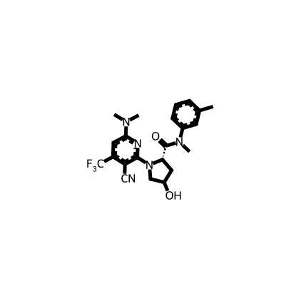 Cc1cccc(N(C)C(=O)[C@@H]2CC(O)CN2c2nc(N(C)C)cc(C(F)(F)F)c2C#N)c1